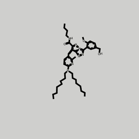 CCCCCCCCN(CCCCCCCC)c1ccc(/C=c2/c(C(=O)NCCCC)nn3c(-c4cc(CO)ccc4OC)nnc23)c(C)n1